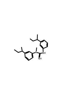 CCC(C)c1cccc(NC(=N)N(C)c2cccc(C(C)CC)c2)c1